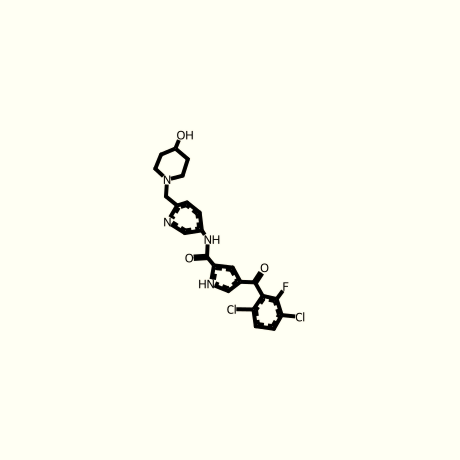 O=C(Nc1ccc(CN2CCC(O)CC2)nc1)c1cc(C(=O)c2c(Cl)ccc(Cl)c2F)c[nH]1